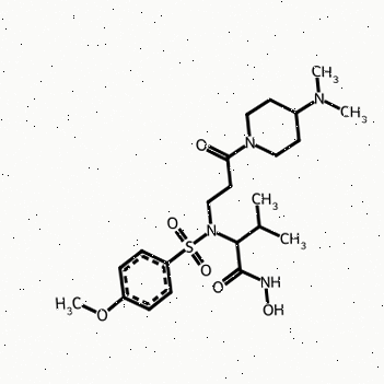 COc1ccc(S(=O)(=O)N(CCC(=O)N2CCC(N(C)C)CC2)C(C(=O)NO)C(C)C)cc1